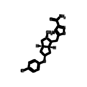 NC(=O)c1cc(CC2[C@H]3C[C@@H](Oc4ccc(Cl)cc4)C[C@H]3CN2C(=O)O)on1